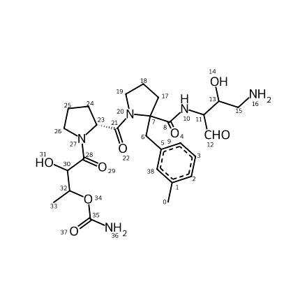 Cc1cccc(CC2(C(=O)NC(C=O)C(O)CN)CCCN2C(=O)[C@H]2CCCN2C(=O)C(O)C(C)OC(N)=O)c1